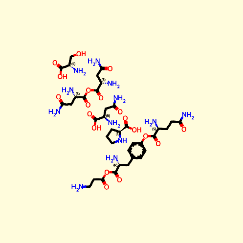 NC(=O)C[C@@H](N)C(=O)O.NC(=O)C[C@H](N)C(=O)OC(=O)[C@@H](N)CC(N)=O.NCCC(=O)OC(=O)[C@H](N)Cc1ccc(OC(=O)[C@@H](N)CCC(N)=O)cc1.N[C@@H](CO)C(=O)O.O=C(O)[C@@H]1CCCN1